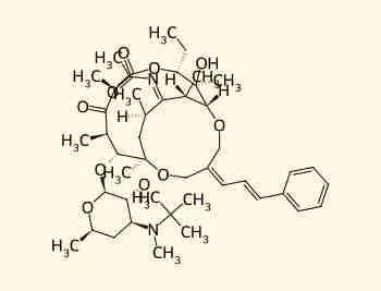 CC[C@H]1OC(=O)[C@H](C)C(=O)[C@H](C)[C@@H](O[C@@H]2O[C@H](C)C[C@H](N(C)C(C)(C)C)[C@H]2O)[C@@]2(C)C[C@@H](C)/C(=N\C(C)=O)[C@H](C)[C@@H](OC/C(=C\C=C\c3ccccc3)CO2)[C@]1(C)O